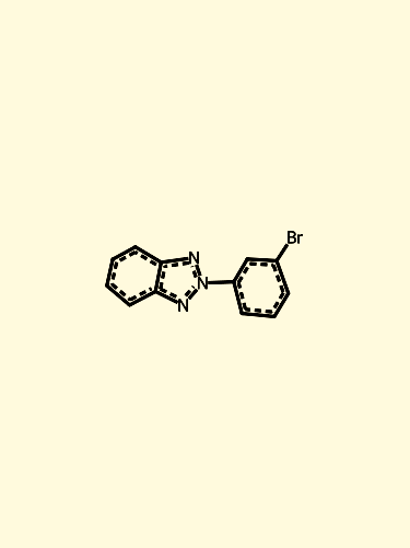 Brc1cccc(-n2nc3ccccc3n2)c1